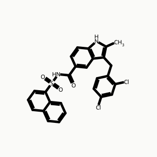 Cc1[nH]c2ccc(C(=O)NS(=O)(=O)c3cccc4ccccc34)cc2c1Cc1ccc(Cl)cc1Cl